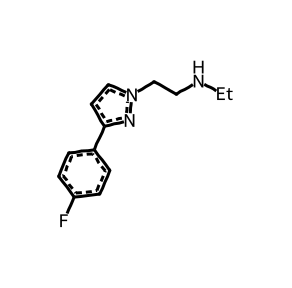 CCNCCn1ccc(-c2ccc(F)cc2)n1